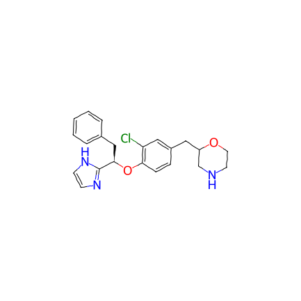 Clc1cc(CC2CNCCO2)ccc1O[C@H](Cc1ccccc1)c1ncc[nH]1